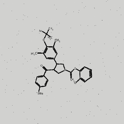 C=C(Oc1ccccc1Cl)N1CC(C(=O)c2ccc(SC)cc2)C(c2cc(C)c(OC(C)(C)C(C)=O)c(C)c2)C1